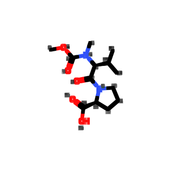 COC(=O)N(C)[C@H](C(=O)N1CCC[C@H]1C(=O)O)C(C)C